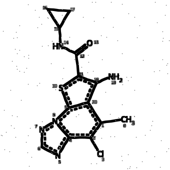 Cc1c(Cl)c2ncnn2c2sc(C(=O)NC3CC3)c(N)c12